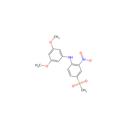 COc1cc(Nc2ccc(S(C)(=O)=O)cc2[N+](=O)[O-])cc(OC)c1